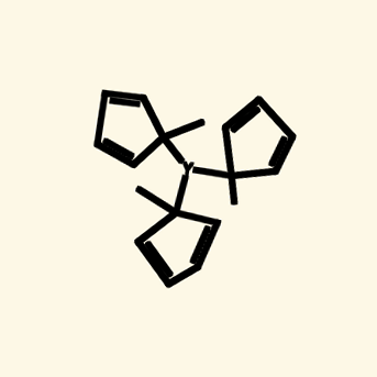 C[C]1([Y]([C]2(C)C=CC=C2)[C]2(C)C=CC=C2)C=CC=C1